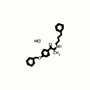 C[C@@H](NCCCCc1ccccc1)C(=O)c1ccc(OCc2ccccc2)cc1.Cl